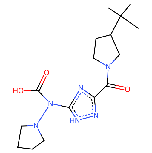 CC(C)(C)C1CCN(C(=O)c2n[nH]c(N(C(=O)O)N3CCCC3)n2)C1